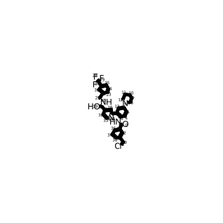 O=C(Nc1ccc(N2CCCCC2)cc1-c1cc(C(O)NCc2cccc(C(F)(F)F)c2)ccn1)c1cccc(CCl)c1